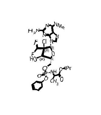 CNc1nc(N)nc2c1ncn2[C@@H]1O[C@H](CO[P@@](=O)(NC(C)C(=O)OC(C)C)Oc2ccccc2)[C@@H](O)[C@]1(Cl)C(F)F